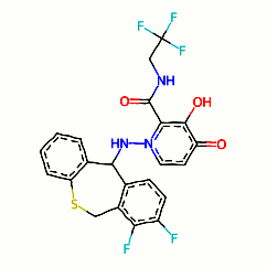 O=C(NCC(F)(F)F)c1c(O)c(=O)ccn1NC1c2ccccc2SCc2c1ccc(F)c2F